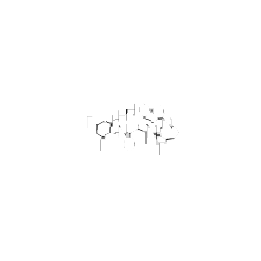 O=C(NCc1c(F)cc(F)cc1F)C1=CN2C(=C(O)C1)C(=O)N1CCC=C(F)[C@H]2C1